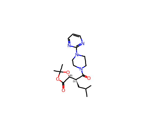 CC(C)C[C@H](C(=O)N1CCN(c2ncccn2)CC1)[C@H]1OC(C)(C)OC1=O